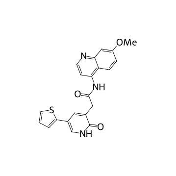 COc1ccc2c(NC(=O)Cc3cc(-c4cccs4)c[nH]c3=O)ccnc2c1